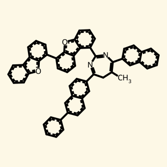 CC1=C(c2ccc3ccccc3c2)N=C(c2cccc3oc4c(-c5cccc6c5oc5ccccc56)cccc4c23)N=C(c2ccc3cc(-c4ccccc4)ccc3c2)C1